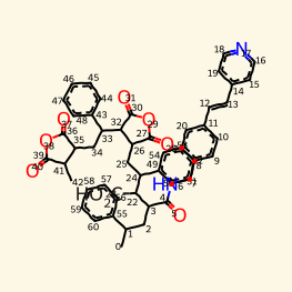 CC(CC(C(=O)NCc1ccc(/C=C/c2ccncc2)cc1)C(C(=O)O)C(CC1C(=O)OC(=O)C1C(CC1C(=O)OC(=O)C1C)c1ccccc1)c1ccccc1)c1ccccc1